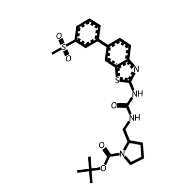 CC(C)(C)OC(=O)N1CCCC1CNC(=O)Nc1nc2ccc(-c3cccc(S(C)(=O)=O)c3)cc2s1